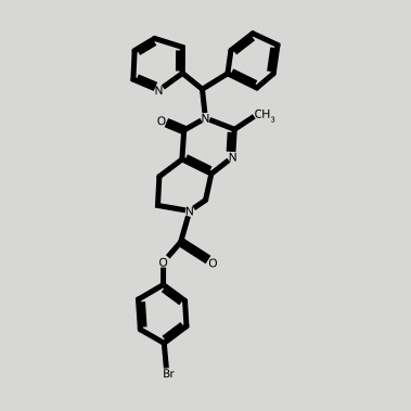 Cc1nc2c(c(=O)n1C(c1ccccc1)c1ccccn1)CCN(C(=O)Oc1ccc(Br)cc1)C2